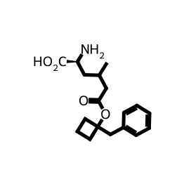 CC(CC(=O)OC1(Cc2ccccc2)CCC1)C[C@H](N)C(=O)O